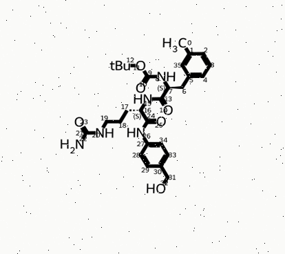 Cc1cccc(C[C@H](NC(=O)OC(C)(C)C)C(=O)N[C@@H](CCCNC(N)=O)C(=O)Nc2ccc(CO)cc2)c1